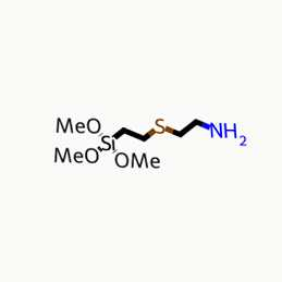 CO[Si](CCSCCN)(OC)OC